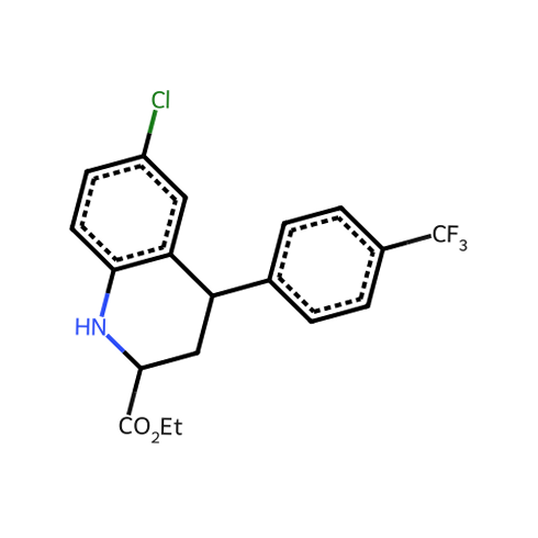 CCOC(=O)C1CC(c2ccc(C(F)(F)F)cc2)c2cc(Cl)ccc2N1